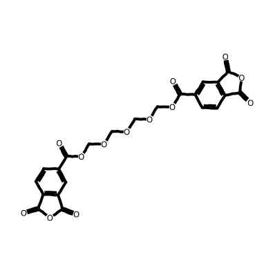 O=C(OCOCOCOCOC(=O)c1ccc2c(c1)C(=O)OC2=O)c1ccc2c(c1)C(=O)OC2=O